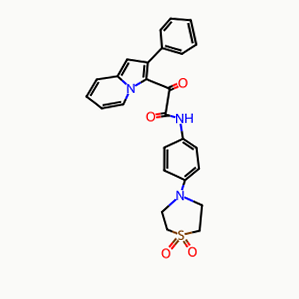 O=C(Nc1ccc(N2CCS(=O)(=O)CC2)cc1)C(=O)c1c(-c2ccccc2)cc2ccccn12